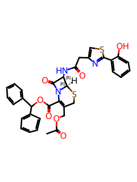 CC(=O)OCC1=C(C(=O)OC(c2ccccc2)c2ccccc2)N2C(=O)[C@@H](NC(=O)Cc3csc(-c4ccccc4O)n3)[C@H]2SC1